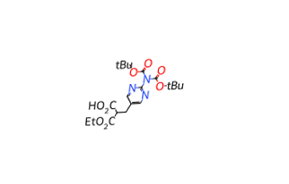 CCOC(=O)C(Cc1cnc(N(C(=O)OC(C)(C)C)C(=O)OC(C)(C)C)nc1)C(=O)O